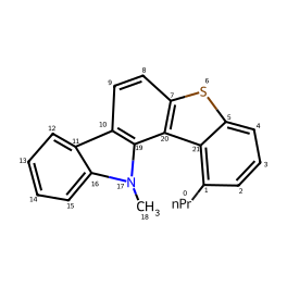 CCCc1cccc2sc3ccc4c5ccccc5n(C)c4c3c12